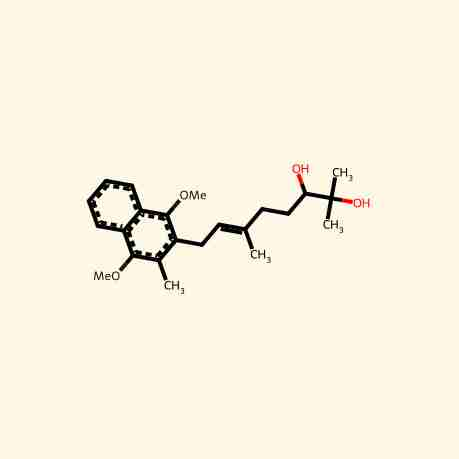 COc1c(C)c(C/C=C(\C)CCC(O)C(C)(C)O)c(OC)c2ccccc12